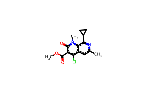 COC(=O)c1c(Cl)c2cc(C)nc(C3CC3)c2n(C)c1=O